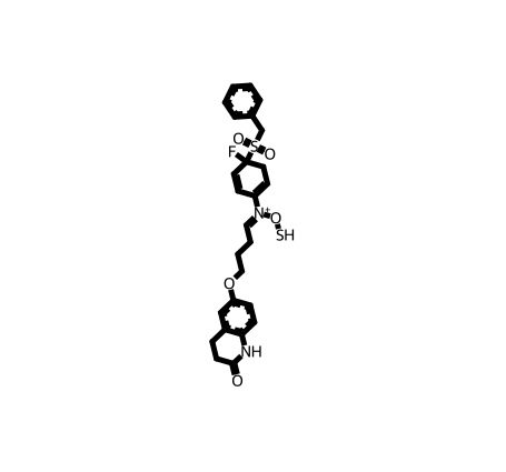 O=C1CCc2cc(OCCCC=[N+](OS)C3=CCC(F)(S(=O)(=O)Cc4ccccc4)C=C3)ccc2N1